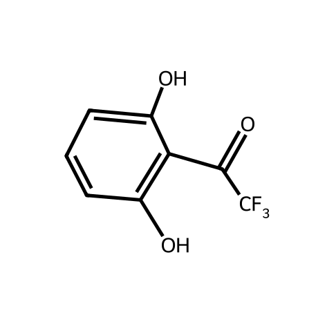 O=C(c1c(O)cccc1O)C(F)(F)F